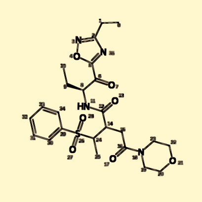 CCc1noc(C(=O)[C@H](CC)NC(=O)C(CC(=O)N2CCOCC2)C(C)S(=O)(=O)c2ccccc2)n1